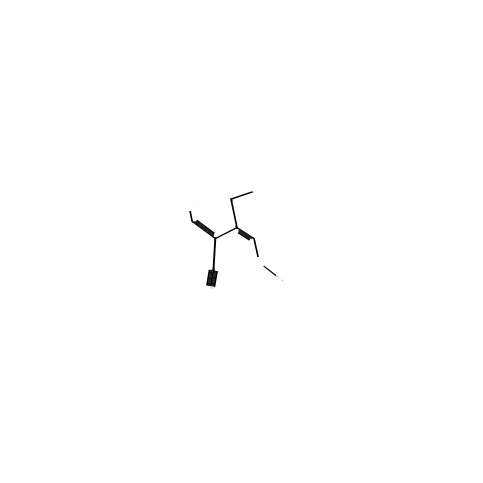 C#CC(=C/C)/C(=C\SN)CC